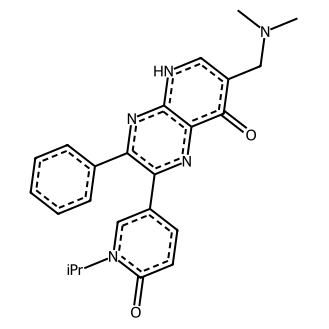 CC(C)n1cc(-c2nc3c(=O)c(CN(C)C)c[nH]c3nc2-c2ccccc2)ccc1=O